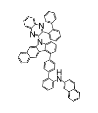 c1ccc(-c2ccccc2-c2nc3ccccc3nc2-n2c3cc4ccccc4cc3c3c(-c4ccc(-c5ccccc5Nc5ccc6ccccc6c5)cc4)cccc32)cc1